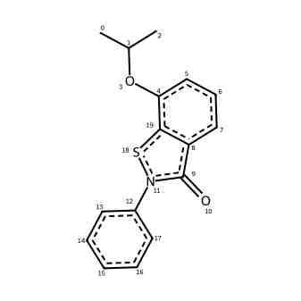 CC(C)Oc1cccc2c(=O)n(-c3ccccc3)sc12